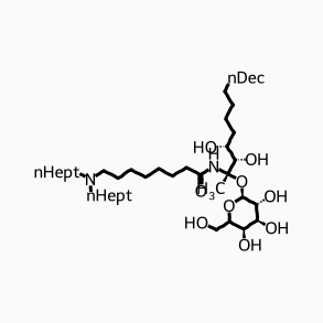 CCCCCCCCCCCCCC[C@@H](O)[C@H](O)[C@@](C)(NC(=O)CCCCCCCN(CCCCCCC)CCCCCCC)O[C@@H]1OC(CO)[C@H](O)[C@H](O)[C@H]1O